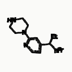 CCCC(CC)c1ccnc(N2CCNCC2)c1